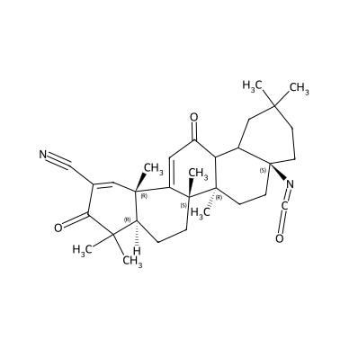 CC1(C)CC[C@]2(N=C=O)CC[C@]3(C)C(C(=O)C=C4[C@@]5(C)C=C(C#N)C(=O)C(C)(C)[C@@H]5CC[C@]43C)C2C1